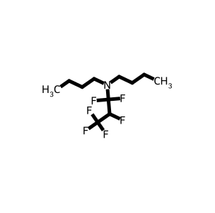 CCCCN(CCCC)C(F)(F)C(F)C(F)(F)F